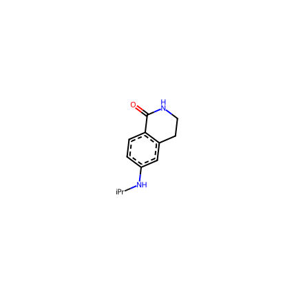 CC(C)Nc1ccc2c(c1)CCNC2=O